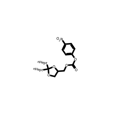 CCCCCCCC1(CCCCCCC)OCC(COC(=O)Oc2ccc([N+](=O)[O-])cc2)O1